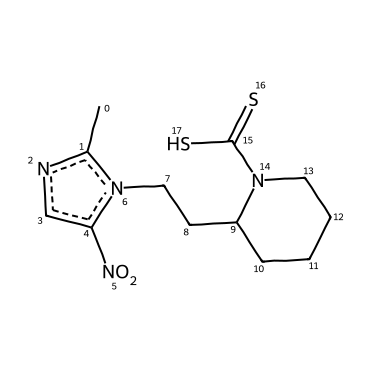 Cc1ncc([N+](=O)[O-])n1CCC1CCCCN1C(=S)S